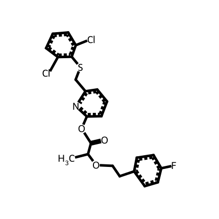 CC(OCCc1ccc(F)cc1)C(=O)Oc1cccc(CSc2c(Cl)cccc2Cl)n1